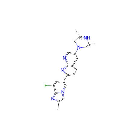 Cc1cn2cc(-c3ccc4cc(N5C[C@@H](C)N[C@@H](C)C5)cnc4n3)cc(F)c2n1